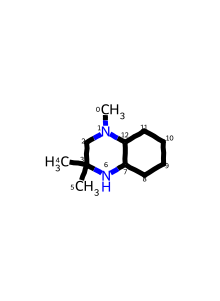 CN1CC(C)(C)NC2CCCCC21